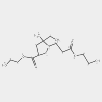 CCC1(C)CC(C(=O)OCCO)ON1CCC(=O)OCCO